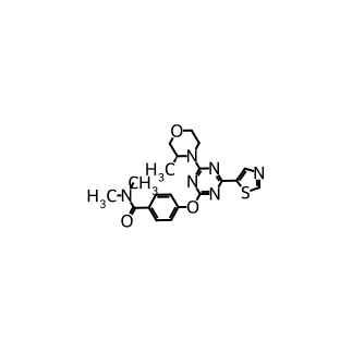 C[C@H]1COCCN1c1nc(Oc2ccc(C(=O)N(C)C)cc2)nc(-c2cncs2)n1